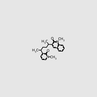 CC(CCC(C)c1cc2ccccc2n(C)c1=O)c1cccn(C)c1=O